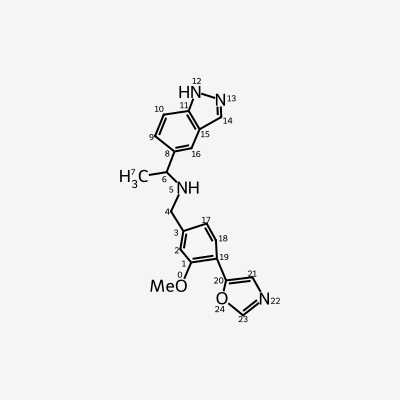 COc1cc(CNC(C)c2ccc3[nH]ncc3c2)ccc1-c1cnco1